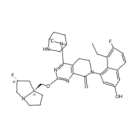 CCc1c(F)ccc2cc(O)cc(N3CCc4c(nc(OC[C@@]56CCCN5C[C@H](F)C6)nc4N4CC5CCC4CN5)C3=O)c12